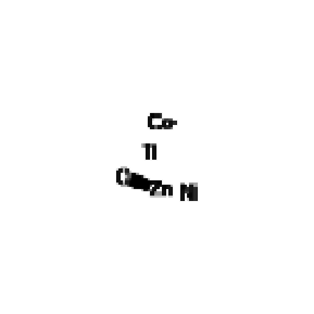 [Co].[Ni].[O]=[Zn].[Ti]